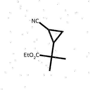 CCOC(=O)C(C)(C)C1CC1C#N